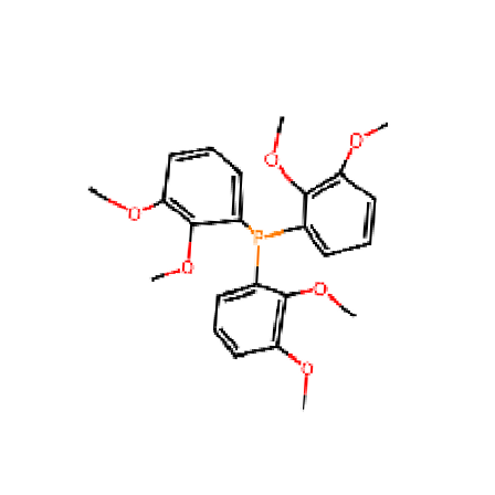 COc1cccc(P(c2cccc(OC)c2OC)c2cccc(OC)c2OC)c1OC